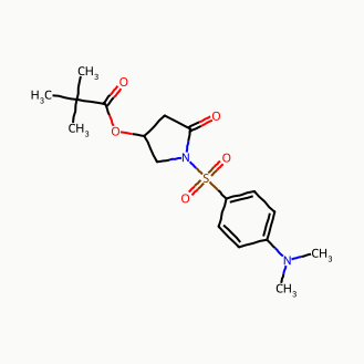 CN(C)c1ccc(S(=O)(=O)N2CC(OC(=O)C(C)(C)C)CC2=O)cc1